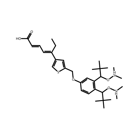 CCC(=CC=CC(=O)O)c1csc(COc2ccc(C(O[SiH](C)C)C(C)(C)C)c(C(O[SiH](C)C)C(C)(C)C)c2)c1